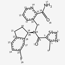 Cc1ncsc1C(=O)N(Cc1cccnc1C(N)=O)[C@@H]1CCc2ccc(F)cc21